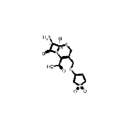 N[C@@H]1C(=O)N2C(C(=O)O)=C(CSC3CCS(=O)(=O)C3)CS[C@H]12